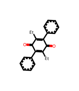 CCC1=C(c2ccccc2)C(=O)C(CC)=C(c2ccccc2)C1=O